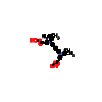 Cc1ccc(N(c2ccc(CCC(=O)OCCO)cc2)c2ccc(-c3ccc(-c4ccc(N(c5ccc(CCC(=O)OCCO)cc5)c5ccc(C)c(C)c5)cc4)cc3)cc2)cc1C